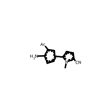 CC(=O)c1cc(-c2ccc(C#N)n2C)ccc1N